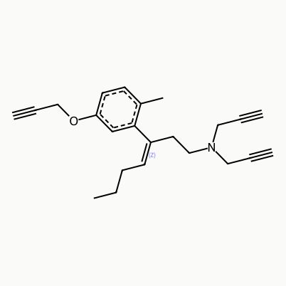 C#CCOc1ccc(C)c(/C(=C\CCC)CCN(CC#C)CC#C)c1